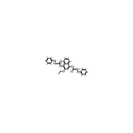 CCOc1cc(OC(=O)NCc2ccccc2)c2ccccc2c1OC(=O)NCc1ccccc1